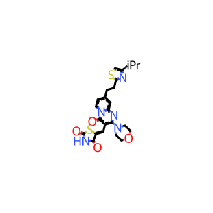 CC(C)c1csc(CCc2ccn3c(=O)c(C=C4SC(=O)NC4=O)c(N4CCOCC4)nc3c2)n1